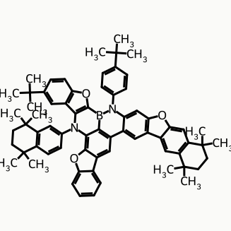 CC(C)(C)c1ccc(N2B3c4oc5ccc(C(C)(C)C)cc5c4N(c4ccc5c(c4)C(C)(C)CCC5(C)C)c4c3c(cc3c4oc4ccccc43)-c3cc4c(cc32)oc2cc3c(cc24)C(C)(C)CCC3(C)C)cc1